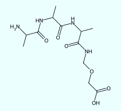 CC(N)C(=O)NC(C)C(=O)NC(C)C(=O)NCOCC(=O)O